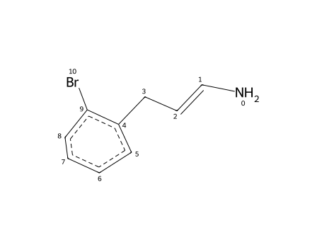 NC=CCc1ccccc1Br